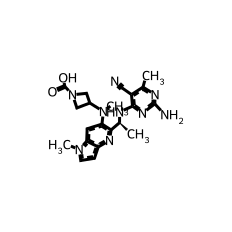 Cc1nc(N)nc(N[C@@H](C)c2nc3ccn(C)c3cc2N(C)C2CN(C(=O)O)C2)c1C#N